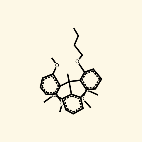 CCCCOc1cccc(OC)c1C(C)(c1c(OC)cccc1OC)c1c(OC)cccc1OC